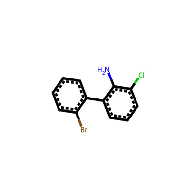 Nc1c(Cl)cccc1-c1ccccc1Br